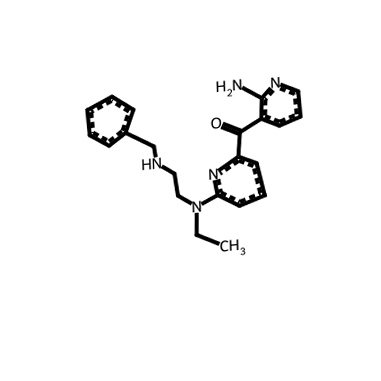 CCN(CCNCc1ccccc1)c1cccc(C(=O)c2cccnc2N)n1